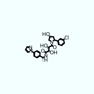 C[C@@H](NC(=O)[C@H](O)[C@@H](O)C(=O)N1C[C@H](O)CC1c1cccc(Cl)c1)c1ccc(-n2cccn2)cc1